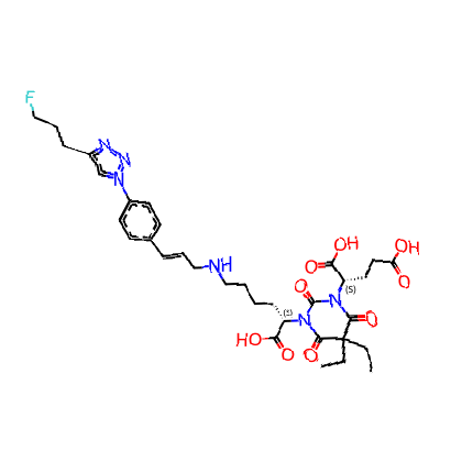 CCC1(CC)C(=O)N([C@@H](CCCCNCC=Cc2ccc(-n3cc(CCCF)nn3)cc2)C(=O)O)C(=O)N([C@@H](CCC(=O)O)C(=O)O)C1=O